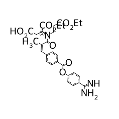 CCOC(=O)CCN(C(=O)C(C)=Cc1ccc(C(=O)Oc2ccc(C(=N)N)cc2)cc1)[C@@H](CC(=O)O)C(=O)OCC